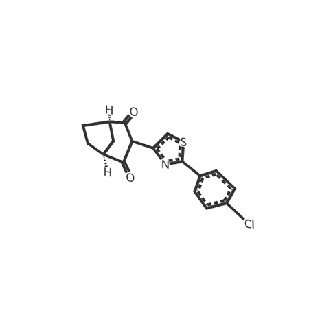 O=C1C(c2csc(-c3ccc(Cl)cc3)n2)C(=O)[C@H]2CC[C@@H]1C2